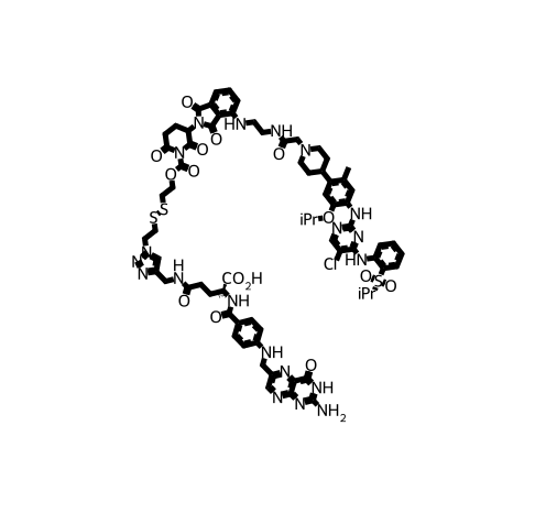 Cc1cc(Nc2ncc(Cl)c(Nc3ccccc3S(=O)(=O)C(C)C)n2)c(OC(C)C)cc1C1CCN(CC(=O)NCCNc2cccc3c2C(=O)N(C2CCC(=O)N(C(=O)OCCSSCCn4cc(CNC(=O)CC[C@H](NC(=O)c5ccc(NCc6cnc7nc(N)[nH]c(=O)c7n6)cc5)C(=O)O)nn4)C2=O)C3=O)CC1